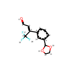 O=C/C=C(/c1cccc(C2OCCO2)c1)C(F)(F)F